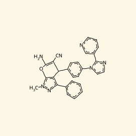 Cn1nc(-c2ccccc2)c2c1OC(N)=C(C#N)C2c1ccc(-n2ccnc2-c2cccnc2)cc1